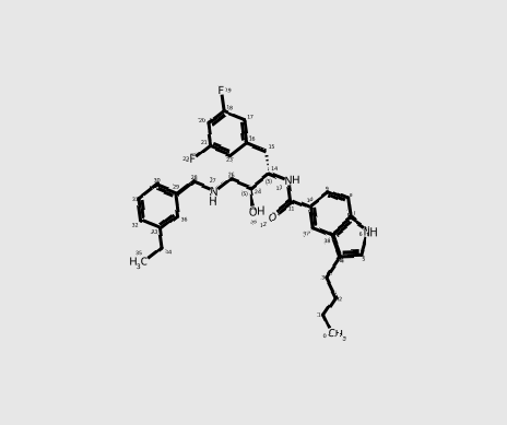 CCCCc1c[nH]c2ccc(C(=O)N[C@@H](Cc3cc(F)cc(F)c3)[C@@H](O)CNCc3cccc(CC)c3)cc12